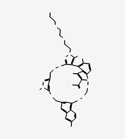 COCCOCCOCCn1nc2c(c1C)-c1c(Cl)ccc3c1c(C)c(C(=O)OC)n3CCCOc1cc(cc3cc(F)ccc13)CCc1cc(nn1C)CSC2